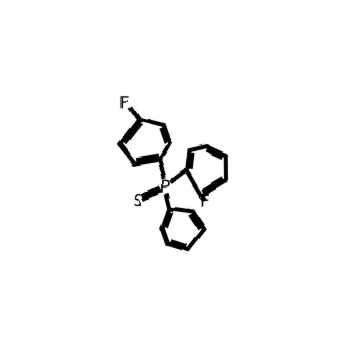 Fc1ccc(P(=S)(c2ccccc2)c2ccccc2F)cc1